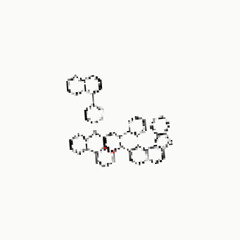 c1ccc(-c2cc(N(c3ccc(-c4cccc5ccccc45)cc3)c3ccccc3-c3ccccc3)ccc2-c2ccc3ccc4oc5ccccc5c4c3c2)cc1